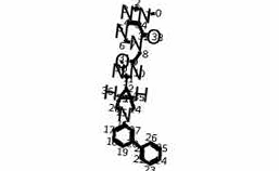 Cn1cnc2ncn(Cc3nc([C@H]4[C@@H]5CN(c6cccc(-c7ccccc7)c6)C[C@@H]54)no3)c(=O)c21